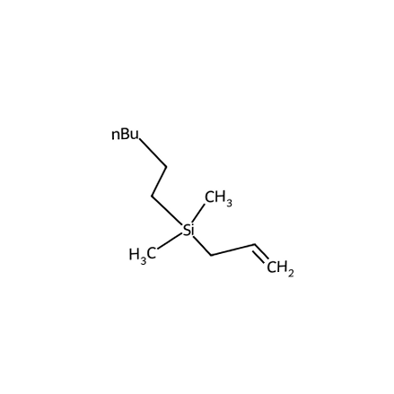 C=CC[Si](C)(C)CCCCCC